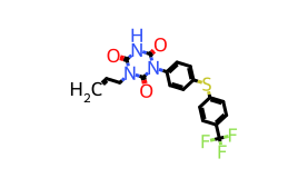 C=CCn1c(=O)[nH]c(=O)n(-c2ccc(Sc3ccc(C(F)(F)F)cc3)cc2)c1=O